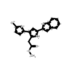 COC(=O)Cc1[nH]c(-c2cc3ccccc3s2)cc1-c1ccc(Cl)s1